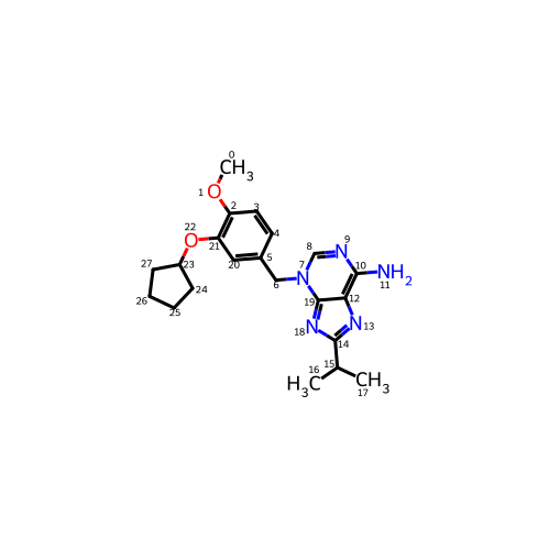 COc1ccc(Cn2cnc(N)c3nc(C(C)C)nc2-3)cc1OC1CCCC1